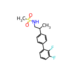 CC(CNS(C)(=O)=O)c1ccc(-c2cccc(F)c2F)cc1